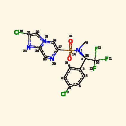 CN([C@H](c1ccc(Cl)cc1)C(F)(F)F)S(=O)(=O)c1cn2cc(Cl)nc2cn1